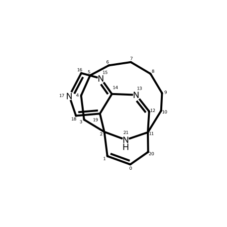 C1=CC23CCCCCCCCC(C=Nc4ncncc42)(C1)N3